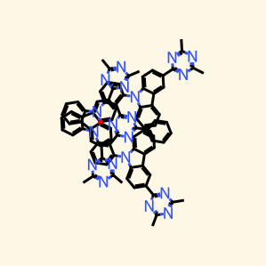 Cc1nc(C)nc(-c2ccc3c(c2)c2ccccc2n3-c2cccc(-n3c4ccccc4c4cc(-c5nc(C)nc(C)n5)ccc43)c2-c2nc(-c3ccccc3)nc(-c3c(-n4c5ccccc5c5cc(-c6nc(C)nc(C)n6)ccc54)cccc3-n3c4ccccc4c4cc(-c5nc(C)nc(C)n5)ccc43)n2)n1